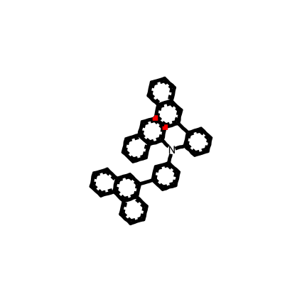 c1cc(-c2cc3ccccc3c3ccccc23)cc(N(c2ccccc2-c2ccc3ccccc3c2)c2cccc3ccccc23)c1